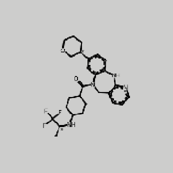 C[C@H](NC1CCC(C(=O)N2Cc3cccnc3Nc3ccc([C@@H]4CCCOC4)cc32)CC1)C(F)(F)F